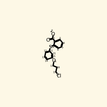 COC(=O)c1ccccc1Sc1cccc(OCCCCl)c1